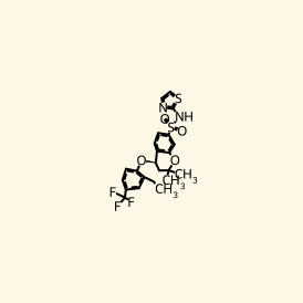 CCc1cc(C(F)(F)F)ccc1O[C@@H]1CC(C)(C)Oc2cc(S(=O)(=O)Nc3nccs3)ccc21